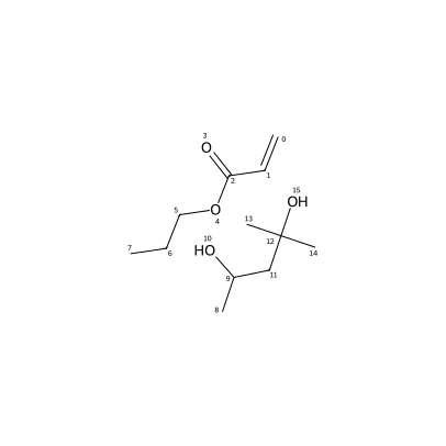 C=CC(=O)OCCC.CC(O)CC(C)(C)O